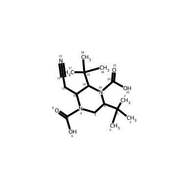 CC(C)(C)C1CN(C(=O)O)C(CC#N)C(C(C)(C)C)N1C(=O)O